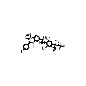 O=C(Nc1cc(C(=O)Nc2c(Br)cc(C(F)(C(F)(F)F)C(F)(F)C(F)(F)F)cc2Br)ccc1-n1cncn1)c1ccc(F)cc1